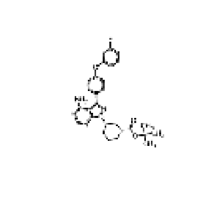 CC(C)(C)OC(=O)N1CCC[C@@H](n2nc(-c3ccc(Oc4cccc(F)c4)cc3)c3c(N)ncnc32)C1